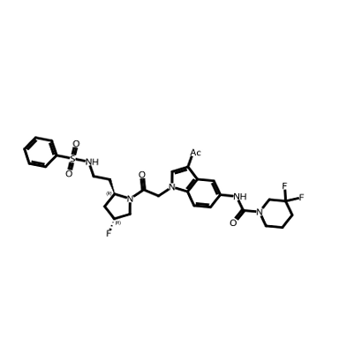 CC(=O)c1cn(CC(=O)N2C[C@H](F)C[C@H]2CCNS(=O)(=O)c2ccccc2)c2ccc(NC(=O)N3CCCC(F)(F)C3)cc12